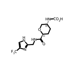 O=C(O)N[C@@H]1CC[C@@H](C(=O)NCc2nc(C(F)(F)F)c[nH]2)OC1